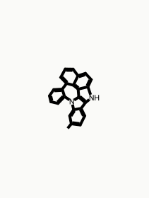 Cc1ccc2c3[nH]c4ccc5cccc6c7ccccc7n(c2c1)c3c4c56